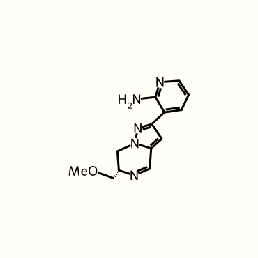 COC[C@@H]1Cn2nc(-c3cccnc3N)cc2C=N1